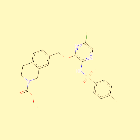 Cc1ccc(S(=O)(=O)Nc2ncc(Br)nc2OCc2ccc3c(c2)CN(C(=O)OC(C)(C)C)CC3)cc1